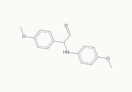 COc1ccc(NC(C=O)c2ccc(OC)cc2)cc1